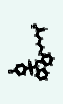 O=S(=O)(c1ccc(Cl)cc1)N(Cc1ccccc1OCCCCC(O)=S)c1ccccc1